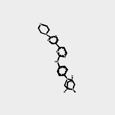 CN1C[C@@H]2C[C@H]1CN2c1ccc(Nc2nccc(-c3cnc(N4CCOCC4)nc3)n2)cc1